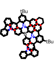 CC(C)(C)c1cc(-c2ccccc2)c(N2c3cc(-n4c5ccccc5c5ccccc54)ccc3B3c4ccc(-n5c6ccccc6c6ccccc65)cc4N(c4c(-c5ccccc5)cc(C(C)(C)C)cc4-c4ccccc4)c4cc(C5CCCCC5)cc2c43)c(-c2ccccc2)c1